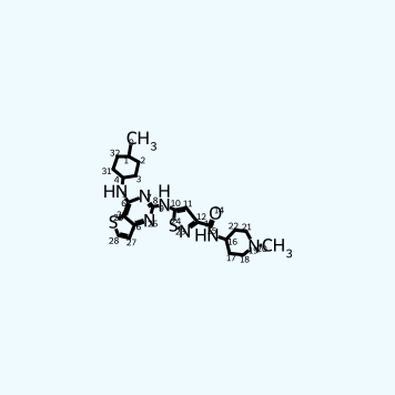 CC1CCC(Nc2nc(Nc3cc(C(=O)NC4CCN(C)CC4)ns3)nc3ccsc23)CC1